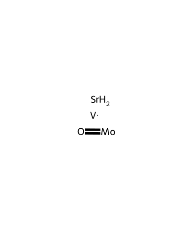 [O]=[Mo].[SrH2].[V]